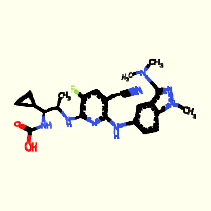 C[C@@H](Nc1nc(Nc2ccc3c(c2)c(N(C)C)nn3C)c(C#N)cc1F)[C@@H](NC(=O)O)C1CC1